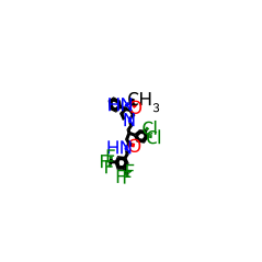 CC(=O)NC1(c2ccccc2)CCN(CCC(CC(=O)NCc2cc(C(F)(F)F)cc(C(F)(F)F)c2)c2ccc(Cl)c(Cl)c2)CC1